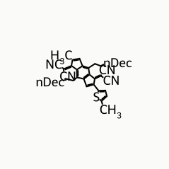 CCCCCCCCCCCCc1c2c(c(CCCCCCCCCCCC)c3c1C(=C(C#N)C#N)C(C)=C3)C(=C(C#N)C#N)C(c1ccc(C)s1)=C2